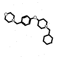 c1cc(OC2CCN(CC3CCCCC3)CC2)ccc1CN1CCOCC1